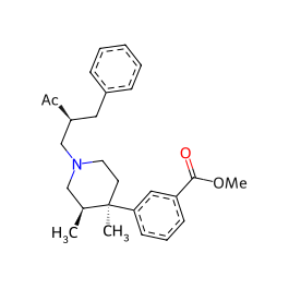 COC(=O)c1cccc([C@]2(C)CCN(C[C@H](Cc3ccccc3)C(C)=O)C[C@@H]2C)c1